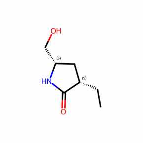 CC[C@H]1C[C@@H](CO)NC1=O